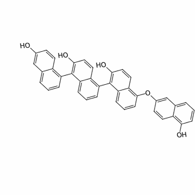 Oc1ccc2c(-c3c(O)ccc4c(-c5c(O)ccc6c(Oc7ccc8c(O)cccc8c7)cccc56)cccc34)cccc2c1